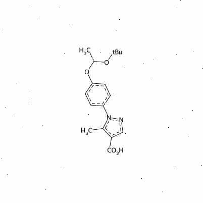 Cc1c(C(=O)O)cnn1-c1ccc(OC(C)OC(C)(C)C)cc1